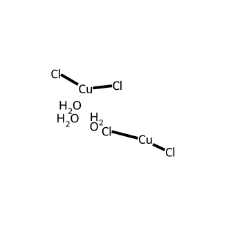 O.O.O.[Cl][Cu][Cl].[Cl][Cu][Cl]